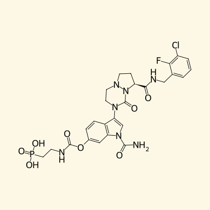 NC(=O)n1cc(N2CCN3CC[C@@H](C(=O)NCc4cccc(Cl)c4F)N3C2=O)c2ccc(OC(=O)NCCP(=O)(O)O)cc21